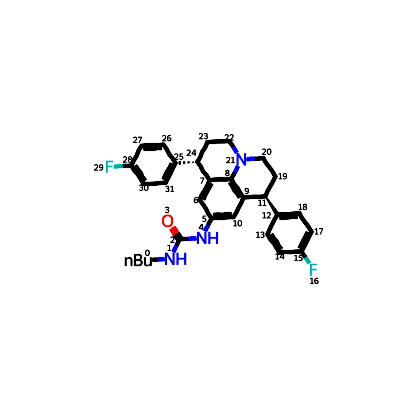 CCCCNC(=O)Nc1cc2c3c(c1)[C@H](c1ccc(F)cc1)CCN3CC[C@H]2c1ccc(F)cc1